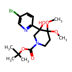 COC1(OC)CCN(C(=O)OC(C)(C)C)CC1(O)c1ccc(Br)cn1